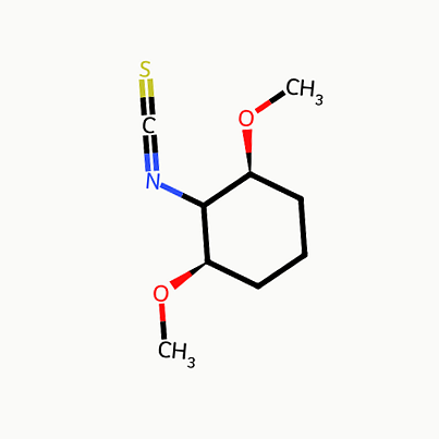 CO[C@H]1CCC[C@@H](OC)C1N=C=S